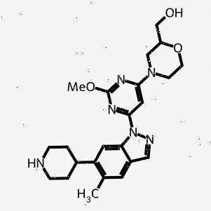 COc1nc(N2CCOC(CO)C2)cc(-n2ncc3cc(C)c(C4CCNCC4)cc32)n1